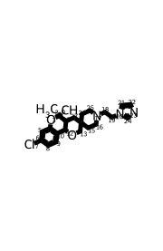 CC1(C)Oc2cc(Cl)ccc2C2OCC3(CCN(CCn4ccnc4)CC3)CC21